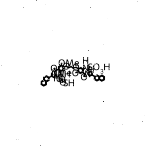 COc1cc2c(cc1OCCCOc1cc3c(cc1OC)C(=O)N1C=C(c4ccc5ccccc5c4)C[C@H]1C(S(=O)(=O)O)N3)NC(OOOS)[C@@H]1CC(c3ccc4ccccc4c3)=CN1C2=O